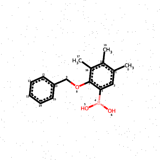 Cc1cc(B(O)O)c(OCc2ccccc2)c(C)c1C